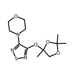 CC1(C)OCC(C)(Oc2nsnc2N2CCOCC2)O1